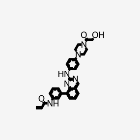 C=CC(=O)Nc1cccc(-c2cccc3cnc(Nc4ccc(N5CCN(C(=O)CO)CC5)cc4)nc23)c1